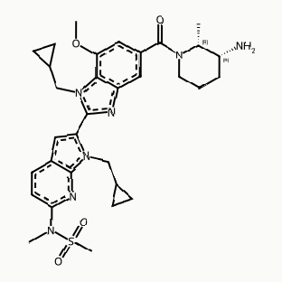 COc1cc(C(=O)N2CCC[C@@H](N)[C@H]2C)cc2nc(-c3cc4ccc(N(C)S(C)(=O)=O)nc4n3CC3CC3)n(CC3CC3)c12